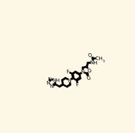 CC(=O)NCC1CN(c2cc(F)c(N3CCC(Cc4nnn[nH]4)CC3)c(F)c2)C(=O)O1